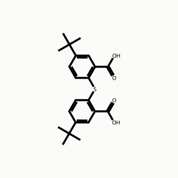 CC(C)(C)c1ccc(Sc2ccc(C(C)(C)C)cc2C(=O)O)c(C(=O)O)c1